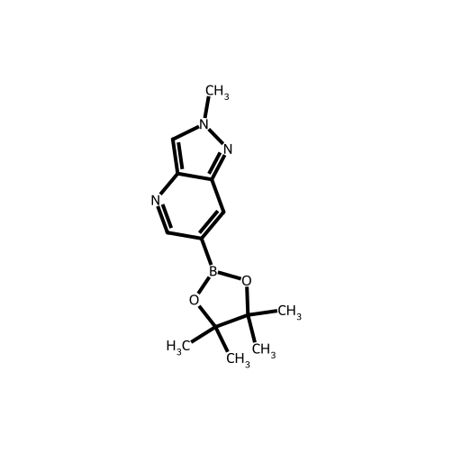 Cn1cc2ncc(B3OC(C)(C)C(C)(C)O3)cc2n1